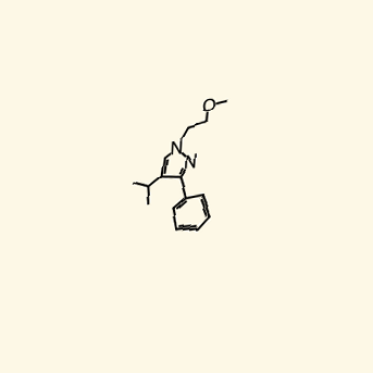 COCCn1cc(C(C)C)c(-c2ccccc2)n1